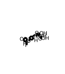 COc1ccc(Oc2ccc(CNC(=O)C(C)(CO)NC(=O)O)cc2)c(C(F)(F)F)c1